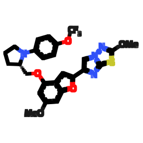 COc1cc(OC[C@@H]2CCCN2c2ccc(OC(F)(F)F)cc2)c2cc(-c3cn4nc(OC)sc4n3)oc2c1